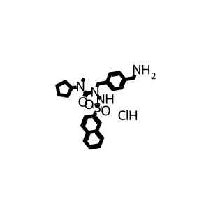 CN(C(=O)N(Cc1ccc(CN)cc1)NS(=O)(=O)c1ccc2ccccc2c1)C1CCCC1.Cl